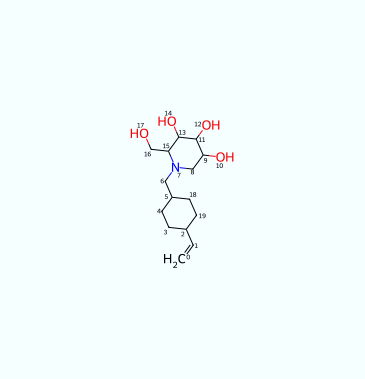 C=CC1CCC(CN2CC(O)C(O)C(O)C2CO)CC1